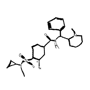 CN1CCCCC1C(NC(=O)C1CCC(S(=O)(=O)N(C)C2CC2)[C@H](Br)C1)c1ccccc1